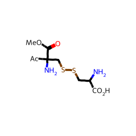 COC(=O)C(N)(CSSCC(N)C(=O)O)C(C)=O